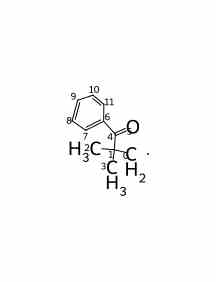 [CH2]C(C)(C)C(=O)c1ccccc1